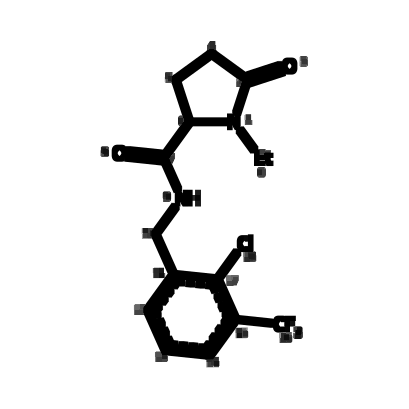 CCN1C(=O)CCC1C(=O)NCc1cccc(C(F)(F)F)c1Cl